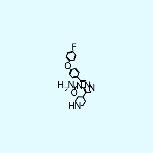 NC(=O)n1c(-c2ccc(Oc3ccc(F)cc3)cc2)cn2ncc(C3CCNCC3)c12